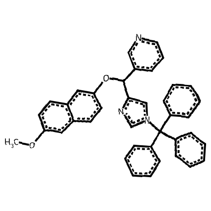 COc1ccc2cc(OC(c3cccnc3)c3cn(C(c4ccccc4)(c4ccccc4)c4ccccc4)cn3)ccc2c1